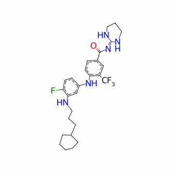 O=C(N=C1NCCCN1)c1ccc(Nc2ccc(F)c(NCCCC3CCCCC3)c2)c(C(F)(F)F)c1